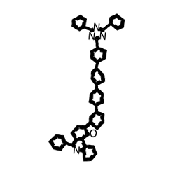 c1ccc(-c2nc(-c3ccccc3)nc(-c3ccc(-c4ccc(-c5ccc(-c6ccc7oc8c(ccc9c(-c%10ccccc%10)nc%10ccccc%10c98)c7c6)cc5)cc4)cc3)n2)cc1